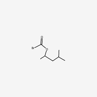 CC(C)CC(C)OC(=O)Br